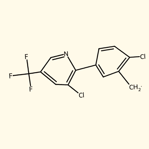 [CH2]c1cc(-c2ncc(C(F)(F)F)cc2Cl)ccc1Cl